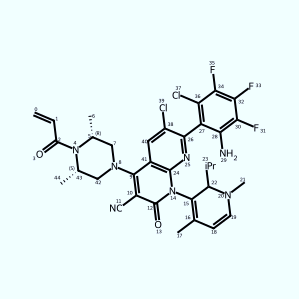 C=CC(=O)N1[C@H](C)CN(c2c(C#N)c(=O)n(C3=C(C)C=CN(C)C3C(C)C)c3nc(-c4c(N)c(F)c(F)c(F)c4Cl)c(Cl)cc23)C[C@@H]1C